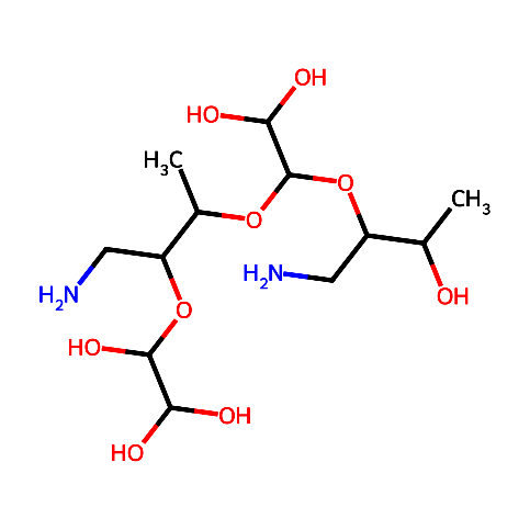 CC(O)C(CN)OC(OC(C)C(CN)OC(O)C(O)O)C(O)O